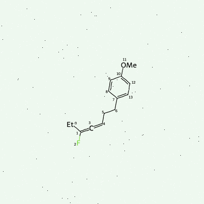 CCC(F)=C=CCCc1ccc(OC)cc1